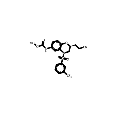 CC(C)(C)OC(=O)Nc1ccc2c(c1)N(S(=O)(=O)c1cccc(C(F)(F)F)c1)C[C@H](CCC#N)O2